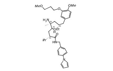 CC[C@@H](Cc1ccc(OC)c(OCCCOC)c1)C[C@](C)(N)[C@@H](O)C[C@H](C(=O)NCc1ccc(-n2cccc2)cc1)C(C)C